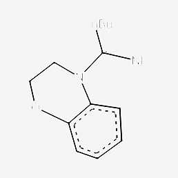 CCCCC(N)N1CCOc2ccccc21